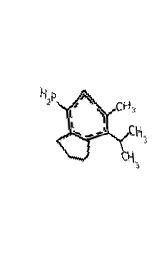 Cc1cc(P)c2c(c1C(C)C)CCC2